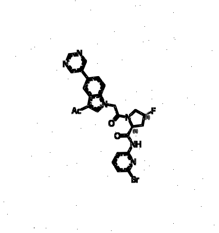 CC(=O)c1cn(CC(=O)N2C[C@H](F)C[C@H]2C(=O)Nc2cccc(Br)n2)c2ccc(-c3cncnc3)cc12